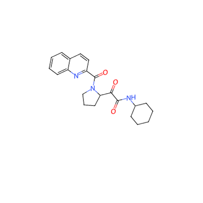 O=C(NC1CCCCC1)C(=O)C1CCCN1C(=O)c1ccc2ccccc2n1